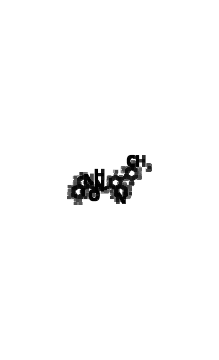 Cc1cccc(-c2ccc(CNC(=O)c3nccc4ccccc34)c3cnccc23)c1